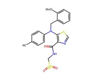 COc1ccccc1CN(c1ccc(C#N)cc1)c1scnc1C(=O)NC[SH](=O)=O